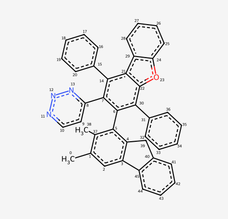 Cc1cc2c(c(-c3c(-c4ccnnn4)c(-c4ccccc4)c4c(oc5ccccc54)c3-c3ccccc3)c1C)Cc1ccccc1-2